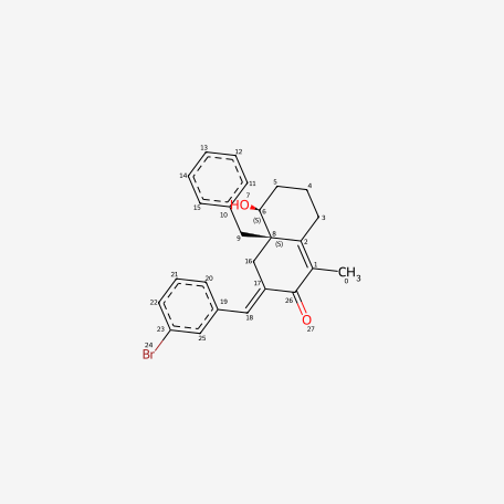 CC1=C2CCC[C@H](O)[C@@]2(Cc2ccccc2)CC(=Cc2cccc(Br)c2)C1=O